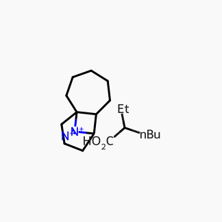 CCCCC(CC)C(=O)O.[N-]=[N+]1C2CCCC13CCCCCC23